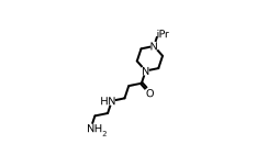 CC(C)N1CCN(C(=O)CCNCCN)CC1